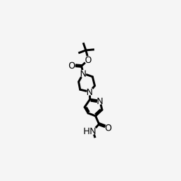 CNC(=O)c1ccc(N2CCN(C(=O)OC(C)(C)C)CC2)nc1